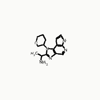 CC(N)c1nc2cnc3c(c2n1C1CCCOC1)C=C[N]3